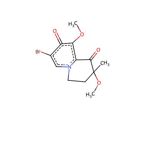 COc1c2n(cc(Br)c1=O)CCC(C)(OC)C2=O